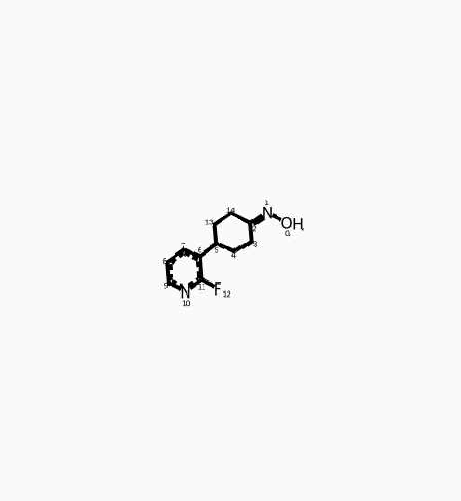 ON=C1CCC(c2cccnc2F)CC1